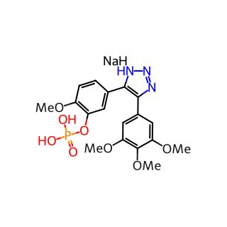 COc1ccc(-c2[nH]nnc2-c2cc(OC)c(OC)c(OC)c2)cc1OP(=O)(O)O.[NaH]